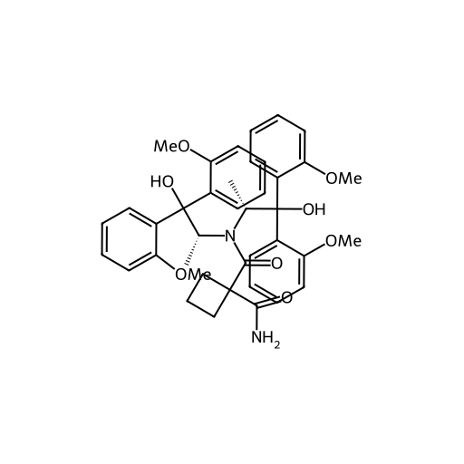 COc1ccccc1C(O)(c1ccccc1OC)[C@@H](C)N(C(=O)C1(C(N)=O)CCC1)[C@H](C)C(O)(c1ccccc1OC)c1ccccc1OC